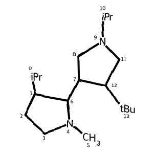 CC(C)C1CCN(C)C1C1CN(C(C)C)CC1C(C)(C)C